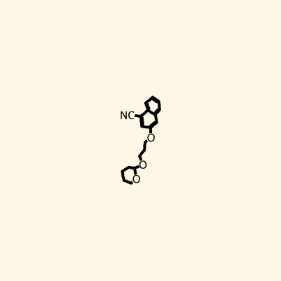 N#Cc1cc(OCCCOC2CCCCO2)cc2ccccc12